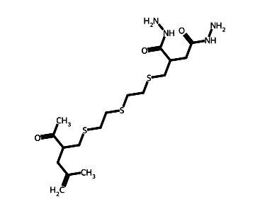 C=C(C)CC(CSCCSCCSCC(CC(=O)NN)C(=O)NN)C(C)=O